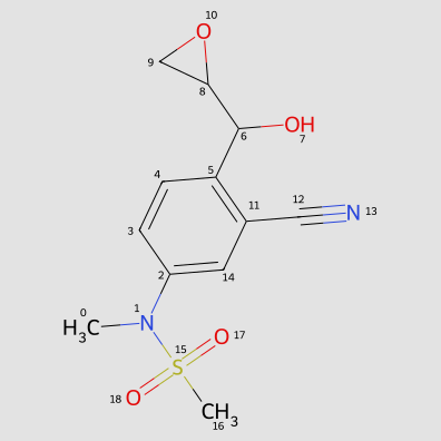 CN(c1ccc(C(O)C2CO2)c(C#N)c1)S(C)(=O)=O